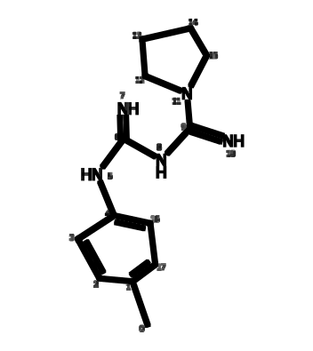 Cc1ccc(NC(=N)NC(=N)N2CCCC2)cc1